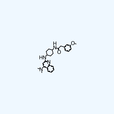 COc1cccc(CC(=O)NC2CCC(Nc3cc(N(C)C)c4ccccc4n3)CC2)c1